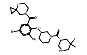 Nc1cc(Br)cc(C(=O)N2CCOC3(CC3)C2)c1N[C@@H]1CCCN(C(=O)[C@H]2CNCC(F)(F)C2)C1